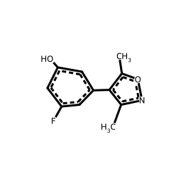 Cc1noc(C)c1-c1cc(O)cc(F)c1